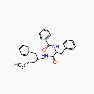 O=C(O)CCC(CNC(=O)C(Cc1ccccc1)NC(=O)c1ccccc1)Cc1ccccc1